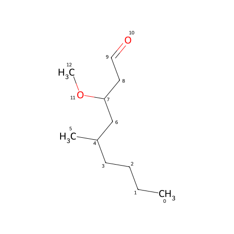 CCCCC(C)CC(CC=O)OC